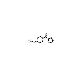 [CH2]CC1CCN(C(=O)c2ccco2)CC1